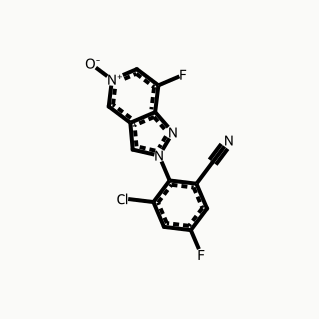 N#Cc1cc(F)cc(Cl)c1-n1cc2c[n+]([O-])cc(F)c2n1